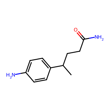 CC(CCC(N)=O)c1ccc(N)cc1